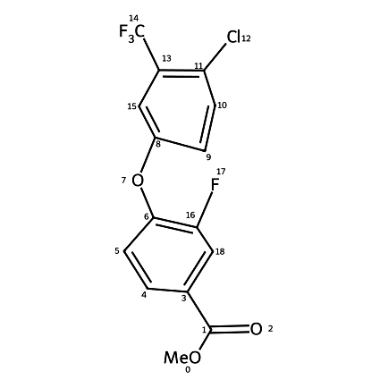 COC(=O)c1ccc(Oc2ccc(Cl)c(C(F)(F)F)c2)c(F)c1